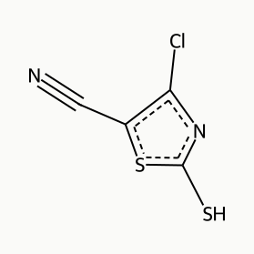 N#Cc1sc(S)nc1Cl